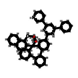 c1ccc(-c2cc(-c3cccnc3)nc(-c3ccc4c(c3)C3(c5ccccc5Oc5c3ccc3ccccc53)c3ccccc3-c3ccccc3-4)n2)cc1